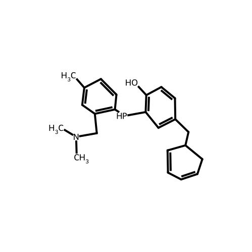 Cc1ccc(Pc2cc(CC3C=CC=CC3)ccc2O)c(CN(C)C)c1